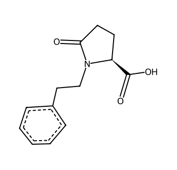 O=C(O)[C@@H]1CCC(=O)N1CCc1ccccc1